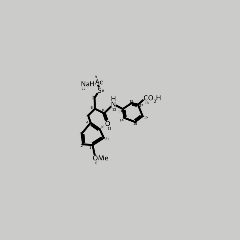 COc1ccc(CC(CSC(C)=O)C(=O)Nc2cccc(C(=O)O)c2)cc1.[NaH]